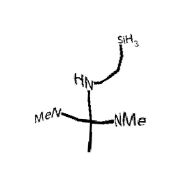 CNC(C)(NC)NC[SiH3]